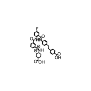 O=C(O)c1ccc(CCc2ccc(NC(=O)c3cc(F)ccc3NC(=O)c3cccc(S(=O)(=O)NC4CCC(C(=O)O)CC4)c3)cc2)cc1